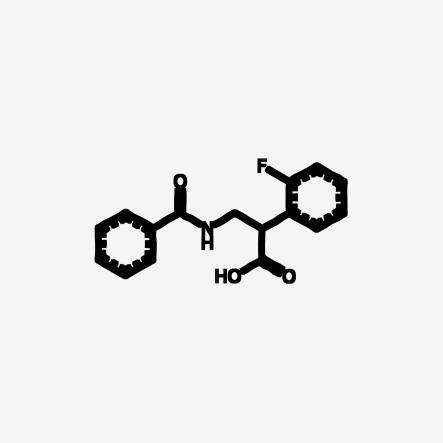 O=C(NCC(C(=O)O)c1ccccc1F)c1ccccc1